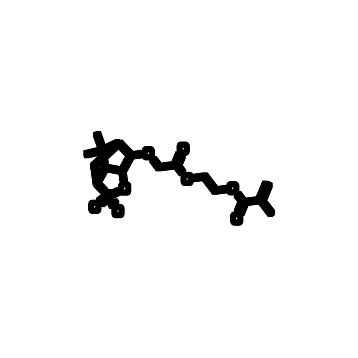 C=C(C)C(=O)OCCOC(=O)COC1C2OS(=O)(=O)C3CC1C(C)(C)C23